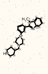 Cn1c(-c2cccc(N3CCN(CC4CCNCC4)CC3)c2)nc2ccccc21